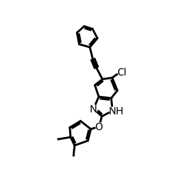 Cc1ccc(Oc2nc3cc(C#Cc4ccccc4)c(Cl)cc3[nH]2)cc1C